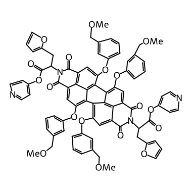 COCc1cccc(Oc2cc3c4c(cc(Oc5cccc(COC)c5)c5c6c(Oc7cccc(COC)c7)cc7c8c(cc(Oc9cccc(COC)c9)c(c2c45)c86)C(=O)N(C(Cc2ccco2)C(=O)Oc2ccncc2)C7=O)C(=O)N(C(Cc2ccco2)C(=O)Oc2ccncc2)C3=O)c1